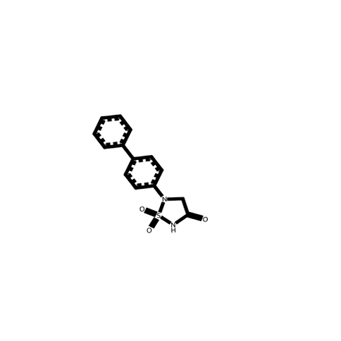 O=C1CN(c2ccc(-c3ccccc3)cc2)S(=O)(=O)N1